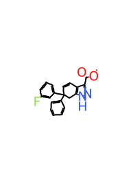 COC(=O)c1n[nH]c2c1C=CC(c1ccccc1)(c1cccc(F)c1)C2